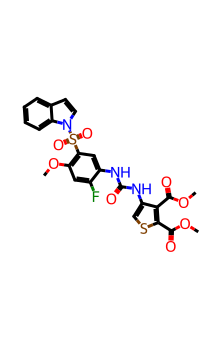 COC(=O)c1scc(NC(=O)Nc2cc(S(=O)(=O)n3ccc4ccccc43)c(OC)cc2F)c1C(=O)OC